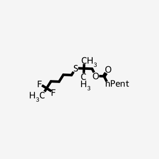 CCCCCC(=O)OCC(C)(C)SCCCCC(C)(F)F